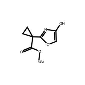 CC(C)(C)OC(=O)C1(c2nc(O)co2)CC1